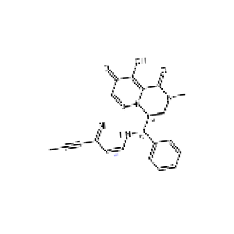 CC#CC(=N)/C=C\N[C@@H](c1ccccc1)[C@@H]1CN(C)C(=O)c2c(O)c(=O)cnn21